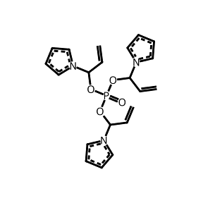 C=CC(OP(=O)(OC(C=C)n1cccc1)OC(C=C)n1cccc1)n1cccc1